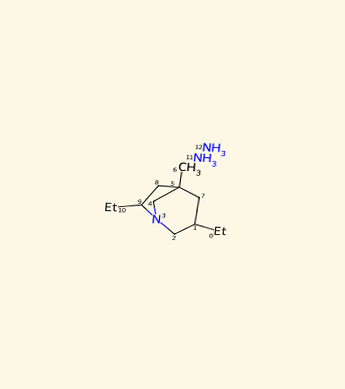 CCC1CN2CC(C)(C1)CC2CC.N.N